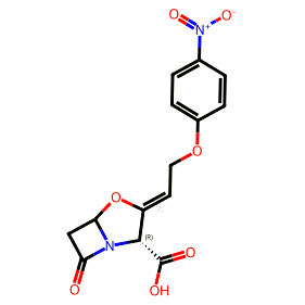 O=C(O)[C@H]1/C(=C/COc2ccc([N+](=O)[O-])cc2)OC2CC(=O)N21